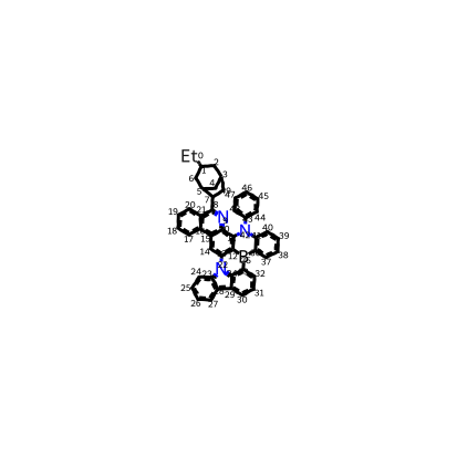 CCC1CC2CC(C1)C(c1nc3c4c5c(cc3c3ccccc13)-n1c3ccccc3c3cccc(c31)B5c1ccccc1N4c1ccccc1)C2